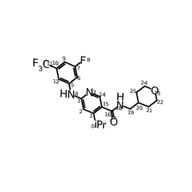 CC(C)c1cc(Nc2cc(F)cc(C(F)(F)F)c2)ncc1C(=O)NCC1CCOCC1